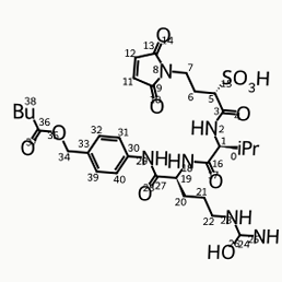 CC(C)[C@H](NC(=O)[C@H](CCN1C(=O)C=CC1=O)S(=O)(=O)O)C(=O)N[C@@H](CCCNC(N)O)C(=O)Nc1ccc(COC(=O)C(C)(C)C)cc1